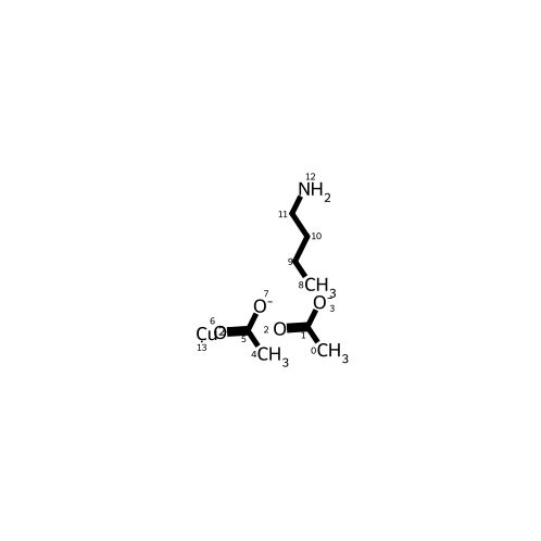 CC(=O)[O-].CC(=O)[O-].CCCCN.[Cu+2]